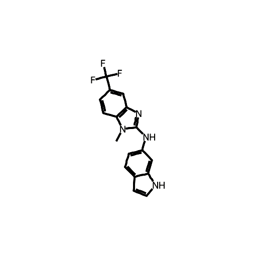 Cn1c(Nc2ccc3cc[nH]c3c2)nc2cc(C(F)(F)F)ccc21